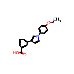 CCOc1ccc(-n2ccc(-c3cccc(C(=O)O)c3)c2)cc1